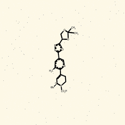 Cc1cc(-c2nnc(C3COC(C)(C)O3)o2)cnc1C1=C[C@H](C(C)(C)C)N(C(=O)O)CC1